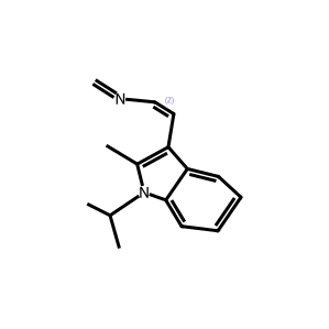 C=N/C=C\c1c(C)n(C(C)C)c2ccccc12